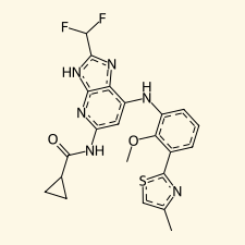 COc1c(Nc2cc(NC(=O)C3CC3)nc3[nH]c(C(F)F)nc23)cccc1-c1nc(C)cs1